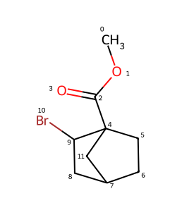 COC(=O)C12CCC(CC1Br)C2